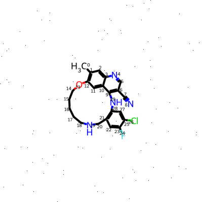 Cc1cc2ncc(C#N)c3c2cc1OCCCCCNCc1cc(F)c(Cl)cc1N3